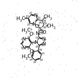 COc1ncnc(OC)c1-n1c(NS(=O)(=O)[C@@H](C)[C@H](C)c2ncc(C)cn2)nnc1-c1ccccc1